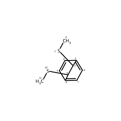 CSC1c2ccc(cc2)C1SC